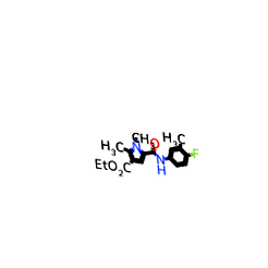 CCOC(=O)c1cc(C(=O)Nc2ccc(F)c(C)c2)n(C)c1C